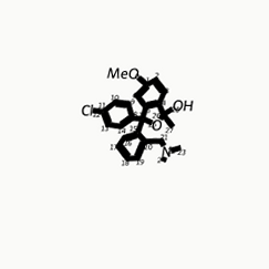 COc1ccc2c(c1)C(c1ccc(Cl)cc1)(c1ccccc1CN(C)C)OC2(C)O